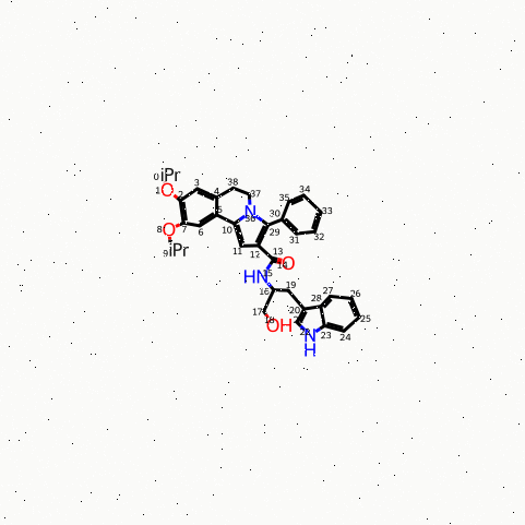 CC(C)Oc1cc2c(cc1OC(C)C)-c1cc(C(=O)NC(CO)Cc3c[nH]c4ccccc34)c(-c3ccccc3)n1CC2